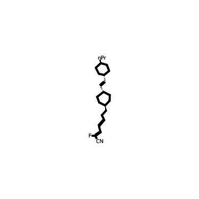 CCC[C@H]1CC[C@H](C=C[C@H]2CC[C@H](CCC=CC=C(F)C#N)CC2)CC1